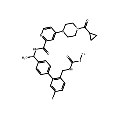 C[C@@H](NC(=O)c1cc(N2CCN(C(=O)C3CC3)CC2)ccn1)c1ccc(-c2cc(F)ccc2CNC(=O)OC(C)(C)C)cc1